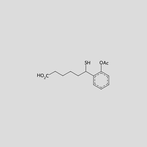 CC(=O)Oc1ccccc1C(S)CCCCC(=O)O